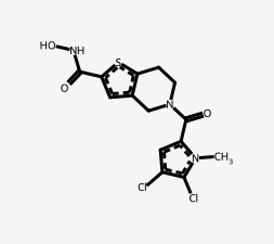 Cn1c(C(=O)N2CCc3sc(C(=O)NO)cc3C2)cc(Cl)c1Cl